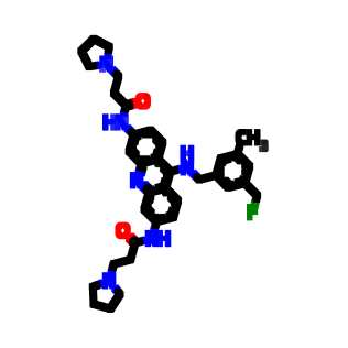 Cc1cc(CF)cc(CNc2c3ccc(NC(=O)CCN4CCCC4)cc3nc3cc(NC(=O)CCN4CCCC4)ccc23)c1